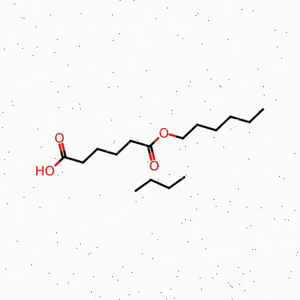 CCCC.CCCCCCOC(=O)CCCCC(=O)O